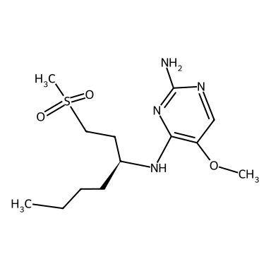 CCCC[C@@H](CCS(C)(=O)=O)Nc1nc(N)ncc1OC